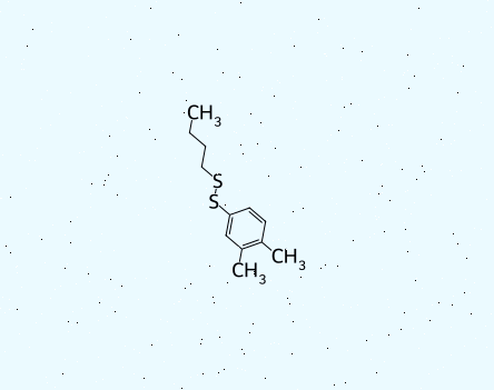 CCCCSSc1ccc(C)c(C)c1